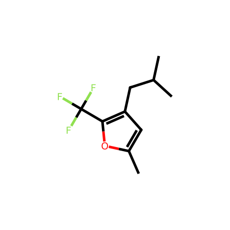 Cc1cc(CC(C)C)c(C(F)(F)F)o1